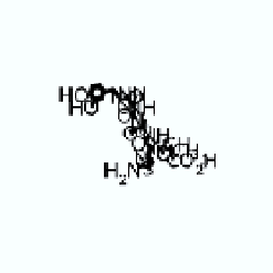 CC(C)(ON=C(C(=O)N[C@H]1CN(C(=O)NS(=O)(=O)NN=Cc2ccc(O)c(O)c2)C1=O)c1csc(N)n1)C(=O)O